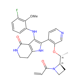 C=CC(=O)N1CC[C@@H]1[C@@H](C)Oc1cnccc1-c1[nH]c2c(c1Nc1cccc(F)c1OC)C(=O)NCC2